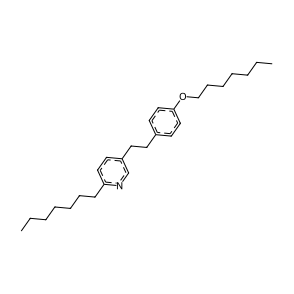 CCCCCCCOc1ccc(CCc2ccc(CCCCCCC)nc2)cc1